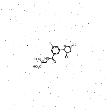 CCC1CN(CC)NC1c1cc(F)cc(C(=O)NC[C@@H](N)C(=O)O)c1